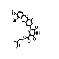 COc1ccc(Oc2c(C)cc(-n3nc(C(=O)OCCC(C)OC)c(=O)[nH]c3=O)cc2C)cc1Br